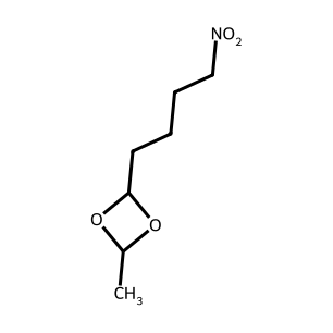 CC1OC(CCCC[N+](=O)[O-])O1